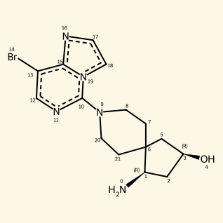 N[C@@H]1C[C@H](O)CC12CCN(c1ncc(Br)c3nccn13)CC2